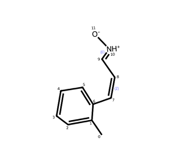 Cc1ccccc1/C=C\C=[NH+]\[O-]